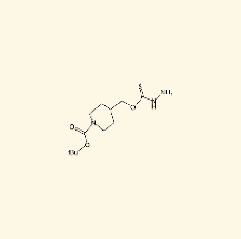 CC(C)(C)OC(=O)N1CCC(COC(=S)NN)CC1